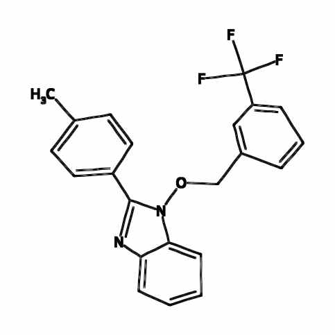 Cc1ccc(-c2nc3ccccc3n2OCc2cccc(C(F)(F)F)c2)cc1